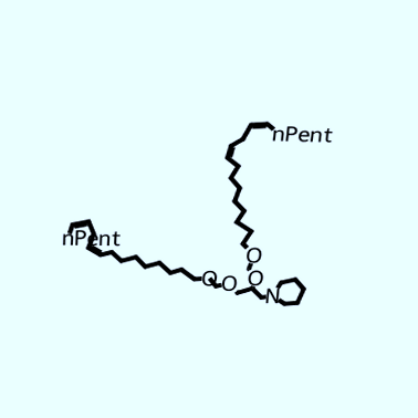 CCCCC/C=C\C/C=C\CCCCCCCCOCOCC(CN1CCCCC1)OCOCCCCCCCC/C=C\C/C=C\CCCCC